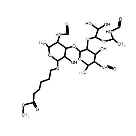 COC(=O)CCCCCOC1OC(C)C(NC=O)C(OC2OC(C)C(NC=O)C(O)C2OC(OC(C)NC=O)C(O)O)C1O